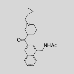 CC(=O)NCc1cc(C(=O)C2CCCN(CC3CC3)C2)cc2ccccc12